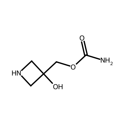 NC(=O)OCC1(O)CNC1